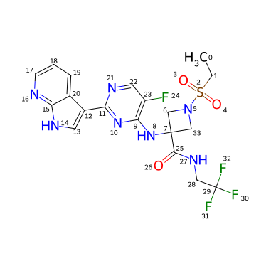 CCS(=O)(=O)N1CC(Nc2nc(-c3c[nH]c4ncccc34)ncc2F)(C(=O)NCC(F)(F)F)C1